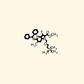 COC(=O)c1c(F)c2nc(N=C(c3ccccc3)c3ccccc3)c(C)cc2n1COCC[Si](C)(C)C